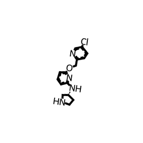 Clc1ccc(COc2cccc(N[C@@H]3CCNC3)n2)nc1